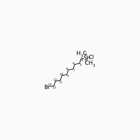 C[Si](C)(Cl)CCCCCCCCCCBr